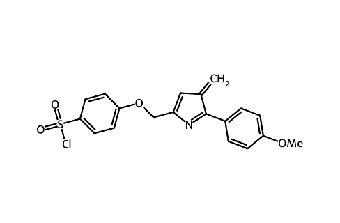 C=C1C=C(COc2ccc(S(=O)(=O)Cl)cc2)N=C1c1ccc(OC)cc1